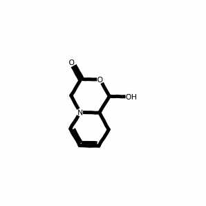 O=C1CN2C=C=CCC2C(O)O1